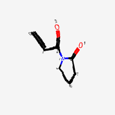 C=CC(=O)N1CCCC1=O